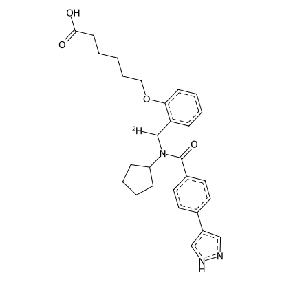 [2H]C(c1ccccc1OCCCCCC(=O)O)N(C(=O)c1ccc(-c2cn[nH]c2)cc1)C1CCCC1